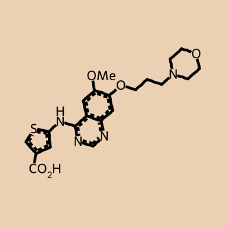 COc1cc2c(Nc3cc(C(=O)O)cs3)ncnc2cc1OCCCN1CCOCC1